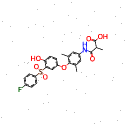 Cc1cc(NC(=O)C(C)C(=O)O)cc(C)c1Oc1ccc(O)c(S(=O)(=O)c2ccc(F)cc2)c1